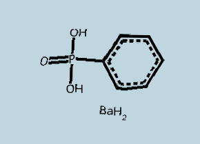 O=P(O)(O)c1ccccc1.[BaH2]